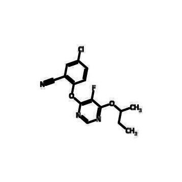 CCC(C)Oc1ncnc(Oc2ccc(Cl)cc2C#N)c1F